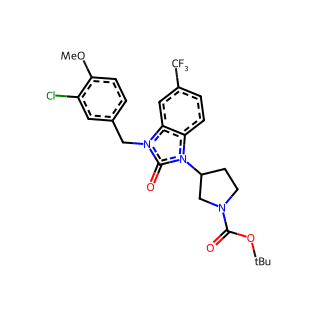 COc1ccc(Cn2c(=O)n(C3CCN(C(=O)OC(C)(C)C)C3)c3ccc(C(F)(F)F)cc32)cc1Cl